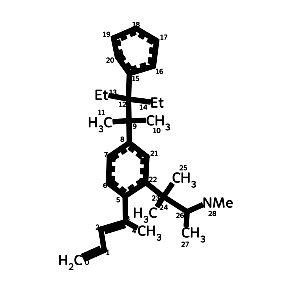 C=C/C=C(\C)c1ccc(C(C)(C)C(CC)(CC)c2ccccc2)cc1C(C)(C)C(C)NC